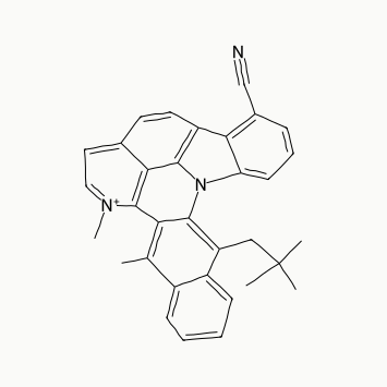 Cc1c2ccccc2c(CC(C)(C)C)c2c1c1c3c(ccc4c5c(C#N)cccc5n2c43)cc[n+]1C